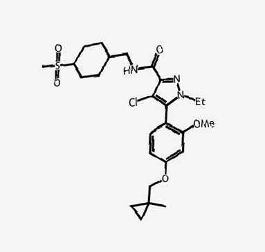 CCn1nc(C(=O)NCC2CCC(S(C)(=O)=O)CC2)c(Cl)c1-c1ccc(OCC2(C)CC2)cc1OC